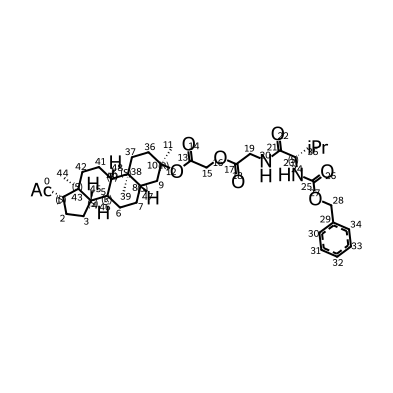 CC(=O)[C@H]1CC[C@H]2[C@@H]3CC[C@H]4C[C@](C)(OC(=O)COC(=O)CNC(=O)[C@@H](NC(=O)OCc5ccccc5)C(C)C)CC[C@]4(C)[C@H]3CC[C@]12C